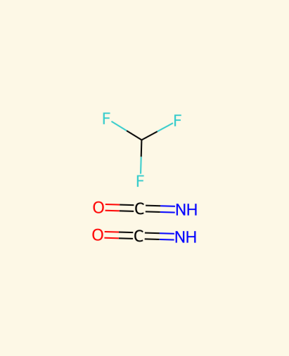 FC(F)F.N=C=O.N=C=O